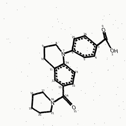 O=C(O)c1ccc(N2CCCc3cc(C(=O)N4CCCCC4)ccc32)cc1